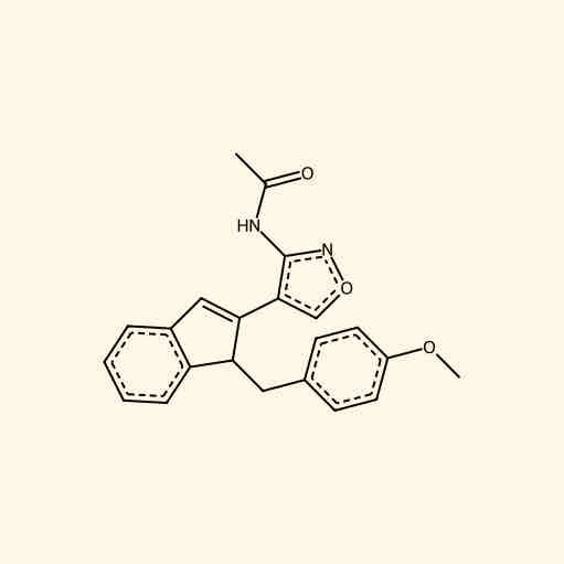 COc1ccc(CC2C(c3conc3NC(C)=O)=Cc3ccccc32)cc1